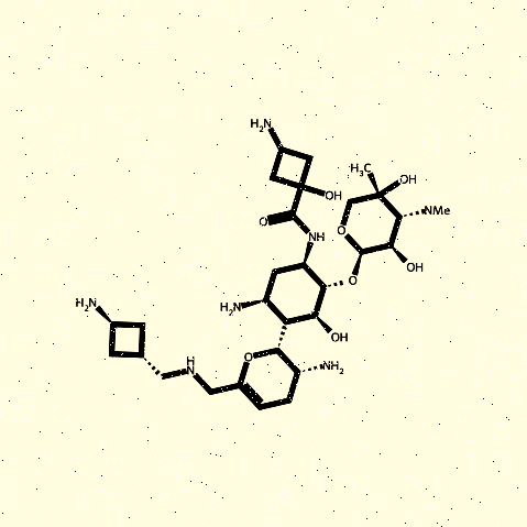 CN[C@@H]1[C@@H](O)[C@@H](O[C@H]2[C@H](NC(=O)C3(O)CC(N)C3)C[C@H](N)C([C@H]3OC(CNC[C@H]4C[C@H](N)C4)=CC[C@H]3N)[C@@H]2O)OC[C@]1(C)O